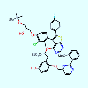 CCOC(=O)[C@@H](Cc1cc(O)ccc1OCc1ccnc(-c2ccccc2OC)n1)Oc1ncnc2sc(-c3ccc(F)cc3)c(-c3ccc(OC[C@H](O)CO[Si](C)(C)C(C)(C)C)c(Cl)c3C)c12